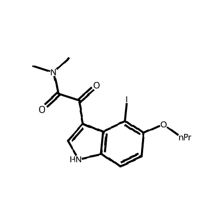 CCCOc1ccc2[nH]cc(C(=O)C(=O)N(C)C)c2c1I